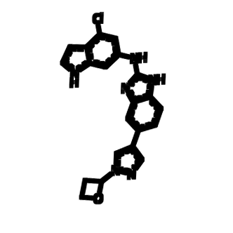 Clc1cc(Nc2nc3cc(-c4cnn(C5CCO5)c4)ccc3[nH]2)cc2[nH]ccc12